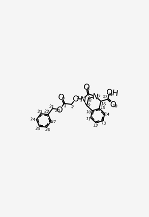 O=C(CON1C(=O)N2CC1c1ccccc1C2C(=O)O)OCc1ccccc1